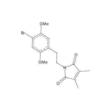 COc1cc(CCN2C(=O)C(C)=C(C)C2=O)c(OC)cc1Br